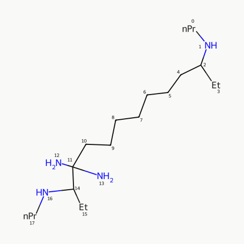 CCCNC(CC)CCCCCCCC(N)(N)C(CC)NCCC